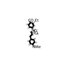 CCOC(=O)c1ccc([N+]([O-])=CC=Cc2ccc(NC)cc2)cc1.Cl